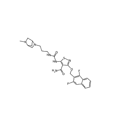 CN1CC2CC1CN2CCCNC(=O)Nc1snc(OCc2c(F)cc3ccccc3c2F)c1C(N)=O